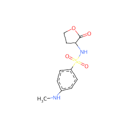 CNc1ccc(S(=O)(=O)NC2CCOC2=O)cc1